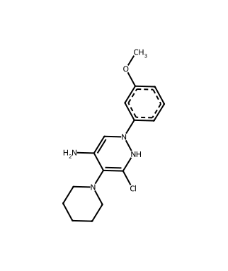 COc1cccc(N2C=C(N)C(N3CCCCC3)=C(Cl)N2)c1